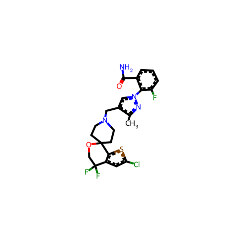 Cc1nn(-c2c(F)cccc2C(N)=O)cc1CN1CCC2(CC1)OCC(F)(F)c1cc(Cl)sc12